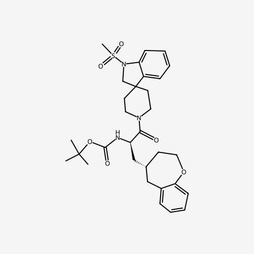 CC(C)(C)OC(=O)N[C@H](C[C@@H]1CCOc2ccccc2C1)C(=O)N1CCC2(CC1)CN(S(C)(=O)=O)c1ccccc12